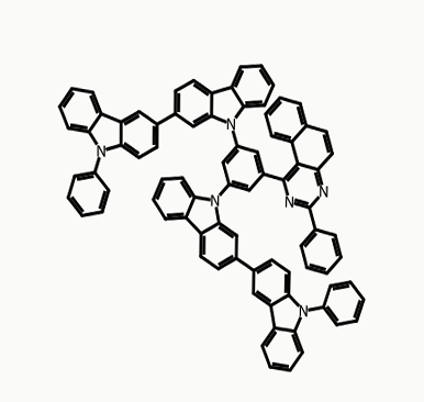 c1ccc(-c2nc(-c3cc(-n4c5ccccc5c5ccc(-c6ccc7c(c6)c6ccccc6n7-c6ccccc6)cc54)cc(-n4c5ccccc5c5ccc(-c6ccc7c(c6)c6ccccc6n7-c6ccccc6)cc54)c3)c3c(ccc4ccccc43)n2)cc1